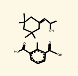 CC(O)C=C1CC(C)(C)CC(C)(C)C1.Cc1c(C(=O)O)cccc1C(=O)O